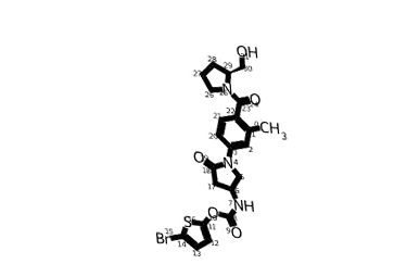 Cc1cc(N2CC(NC(=O)Oc3ccc(Br)s3)CC2=O)ccc1C(=O)N1CCC[C@H]1CO